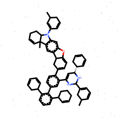 CC1C=C(N2c3cc4c(cc3C3(C)C=CCCC23)C2CC(c3ccc(-c5c(C6C=CC=CC6)cccc5C5C=CCCC5)cc3C3=CC([C@H]5C=CC=CC5)NC(C5=CC=CC(C)C5)N3)=CC=C2O4)C=CC1